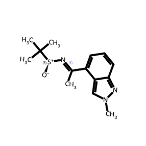 C/C(=N\[S@@+]([O-])C(C)(C)C)c1cccc2nn(C)cc12